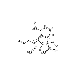 C=CCC1=C(C)C(C(CC)(C(=O)O)c2cccc(OC)c2)CC1=O